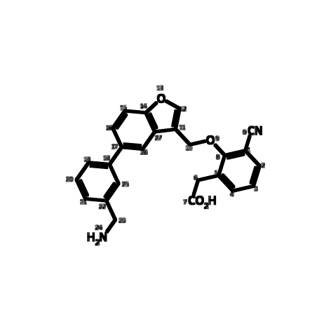 N#Cc1cccc(CC(=O)O)c1OCc1coc2ccc(-c3cccc(CN)c3)cc12